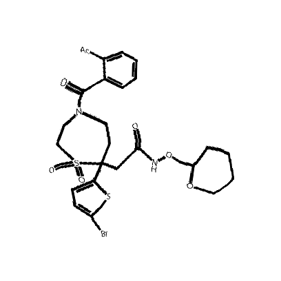 CC(=O)c1ccccc1C(=O)N1CCC(CC(=O)NOC2CCCCO2)(c2ccc(Br)s2)S(=O)(=O)CC1